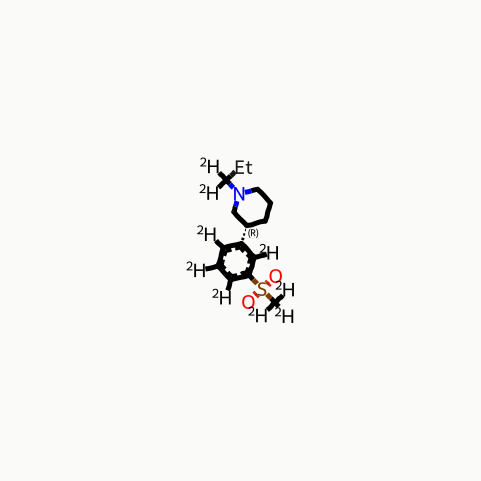 [2H]c1c([2H])c([C@H]2CCCN(C([2H])([2H])CC)C2)c([2H])c(S(=O)(=O)C([2H])([2H])[2H])c1[2H]